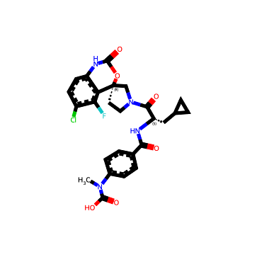 CN(C(=O)O)c1ccc(C(=O)N[C@@H](CC2CC2)C(=O)N2CC[C@@]3(C2)OC(=O)Nc2ccc(Cl)c(F)c23)cc1